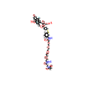 C[C@@]12CO[C@H](c3ccc(Sc4cccc(NC(=O)CCOCCOCCOCCOCCNC(=O)CCN5C(=O)C=CC5=O)c4)cc3)O[C@@H](C(=O)CO)C[C@H]1[C@@H]1C[C@H](F)C3=CC(=O)C=C[C@]3(C)[C@@]1(F)[C@@H](O)C2